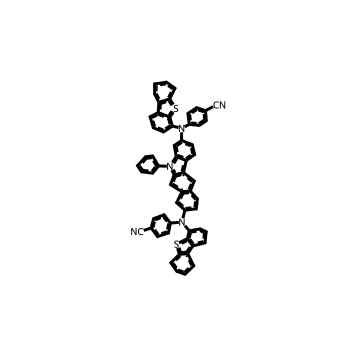 N#Cc1ccc(N(c2ccc3cc4c5ccc(N(c6ccc(C#N)cc6)c6cccc7c6sc6ccccc67)cc5n(-c5ccccc5)c4cc3c2)c2cccc3c2sc2ccccc23)cc1